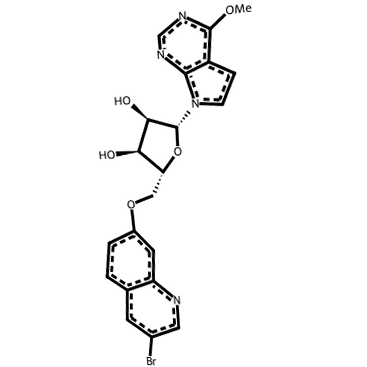 COc1ncnc2c1ccn2[C@@H]1O[C@H](COc2ccc3cc(Br)cnc3c2)[C@@H](O)[C@H]1O